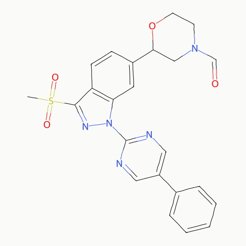 CS(=O)(=O)c1nn(-c2ncc(-c3ccccc3)cn2)c2cc(C3CN(C=O)CCO3)ccc12